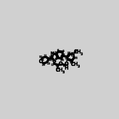 CC1=CC(c2ccc3nc(C4CCOCC4)n(C[C@H](C)OCO)c3c2)=CN(C)C1